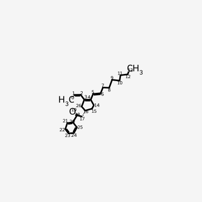 C/C=C\C1=C(/C=C/CCCCCCC)CC[C@H](CC(=O)c2ccccc2)C1